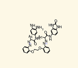 CC(=O)C(/N=N/c1ccccc1OCCOc1ccccc1/N=N/C(C(C)=O)C(=O)Nc1ccc2[nH]c(=O)[nH]c2c1)C(=O)Nc1ccc(N)c(N)c1